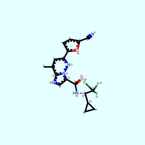 Cc1cc(-c2ccc(C#N)o2)nn2c(C(=O)N[C@@H](C3CC3)C(F)(F)F)cnc12